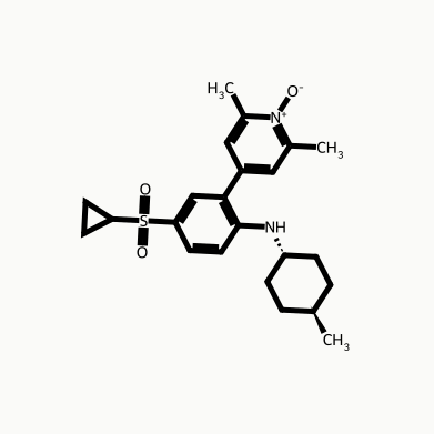 Cc1cc(-c2cc(S(=O)(=O)C3CC3)ccc2N[C@H]2CC[C@H](C)CC2)cc(C)[n+]1[O-]